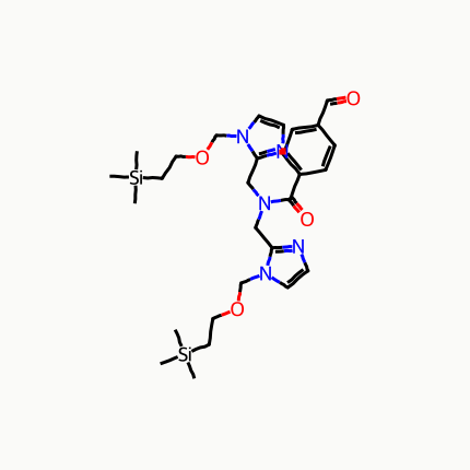 C[Si](C)(C)CCOCn1ccnc1CN(Cc1nccn1COCC[Si](C)(C)C)C(=O)c1ccc(C=O)cc1